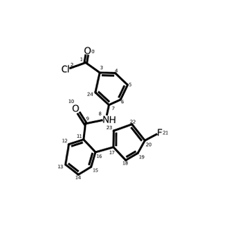 O=C(Cl)c1cccc(NC(=O)c2ccccc2-c2ccc(F)cc2)c1